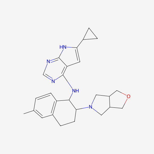 Cc1ccc2c(c1)CCC(N1CC3COCC3C1)C2Nc1ncnc2[nH]c(C3CC3)cc12